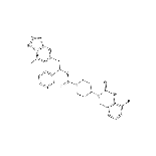 Cc1cc(CC(OC(=O)N2CCC(N3Cc4cccc(F)c4NC3=O)CC2)c2cccnc2)cc2cn[nH]c12